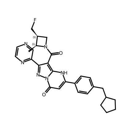 C[C@H]1[C@@H](CF)CN1C(=O)c1c(-c2cnccn2)nn2c(=O)cc(-c3ccc(CC4CCCC4)cc3)[nH]c12